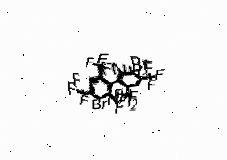 Nc1c(Br)c(C(F)(F)F)cc(C(F)(F)F)c1-c1c(C(F)(F)F)cc(C(F)(F)F)c(Br)c1N